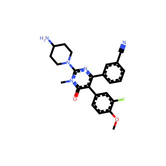 COc1ccc(-c2c(-c3cccc(C#N)c3)nc(N3CCC(N)CC3)n(C)c2=O)cc1F